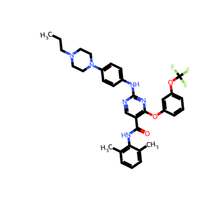 CCCN1CCN(c2ccc(Nc3ncc(C(=O)Nc4c(C)cccc4C)c(Oc4cccc(OC(F)(F)F)c4)n3)cc2)CC1